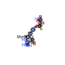 CCc1cc(Nc2nc(Nc3ccccc3P(C)(C)=O)c3cn[nH]c3n2)c(OC)cc1N1CCC(N2CCN(CCOc3cc(F)cc4c3CN(C3CCC(=O)NC3=O)C4=O)CC2)CC1